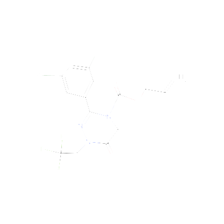 C=CCOC(=O)N1CC(=O)N(CC(F)(F)F)N=C1c1cc(Cl)cc(Cl)c1